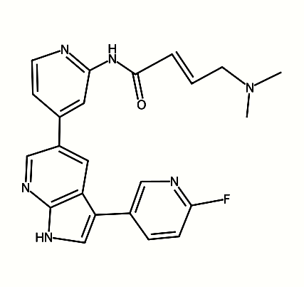 CN(C)CC=CC(=O)Nc1cc(-c2cnc3[nH]cc(-c4ccc(F)nc4)c3c2)ccn1